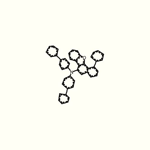 c1ccc(-c2ccc(N(c3ccc(-c4ccccc4)cc3)c3cc4cccc(-c5ccccc5)c4c4oc5ccccc5c34)cc2)cc1